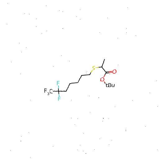 CC(SCCCCCC(F)(F)C(F)(F)F)C(=O)OC(C)(C)C